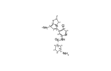 CC1Cc2c(C#N)cc(-c3cc(NC(=O)[C@H]4CCC[C@@H](N)C4)ncc3Cl)n2C1